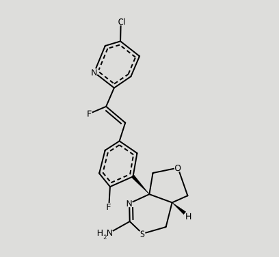 NC1=N[C@]2(c3cc(/C=C(\F)c4ccc(Cl)cn4)ccc3F)COC[C@@H]2CS1